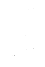 CCOCCn1ccc(C(OC)OC)n1